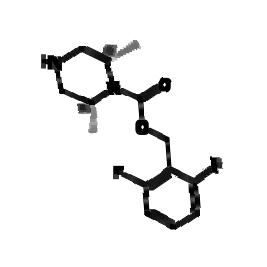 C[C@@H]1CNC[C@H](C)N1C(=O)OCc1c(F)cccc1F